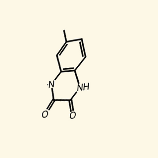 Cc1ccc2c(c1)[N]C(=O)C(=O)N2